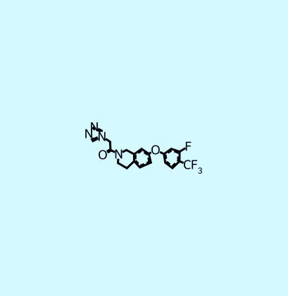 O=C(Cn1cnnc1)N1CCc2ccc(Oc3ccc(C(F)(F)F)c(F)c3)cc2C1